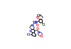 COc1ccc(Cl)cc1NC(=O)CN1CCc2nc3c(Cl)cccc3c(C(=O)N3CCOCC3)c2C1